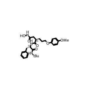 COc1ccc(OCCC[C@H](CC(=O)NO)C(=O)N[C@@H](Cc2ccccc2)C(=O)NC(C)(C)C)cc1